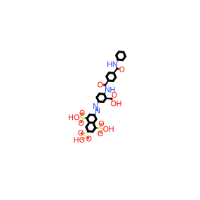 O=C(Nc1ccccc1)c1ccc(C(=O)Nc2ccc(/N=N/c3cc(S(=O)(=O)O)c4cc(S(=O)(=O)O)cc(S(=O)(=O)O)c4c3)cc2C(=O)O)cc1